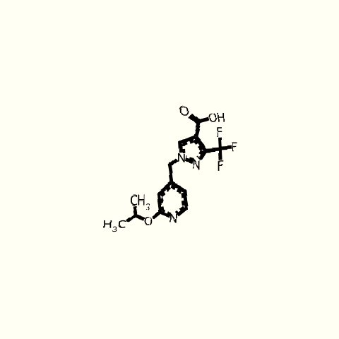 CC(C)Oc1cc(Cn2cc(C(=O)O)c(C(F)(F)F)n2)ccn1